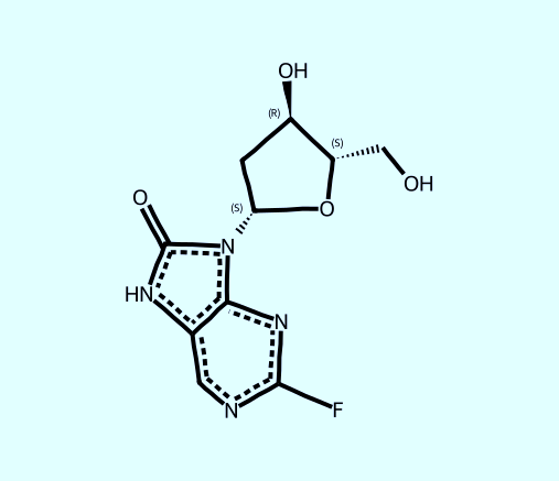 O=c1[nH]c2cnc(F)nc2n1[C@@H]1C[C@@H](O)[C@H](CO)O1